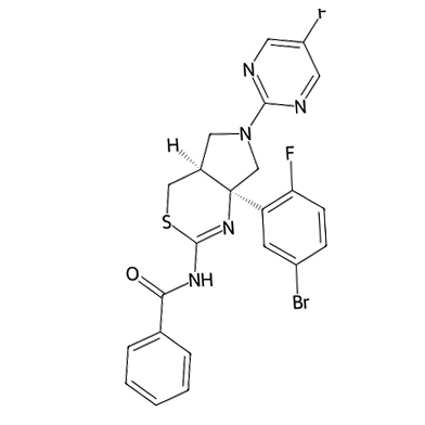 O=C(NC1=N[C@]2(c3cc(Br)ccc3F)CN(c3ncc(F)cn3)C[C@@H]2CS1)c1ccccc1